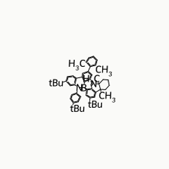 Cc1cccc(C)c1-c1cc2c3c(c1)N1c4c(cc(C(C)(C)C)cc4C4(C)CCCCC14C)B3N(c1ccc(C(C)(C)C)cc1)c1cc(C(C)(C)C)ccc1-2